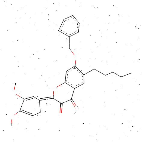 CCCCCc1cc2c(cc1OCc1ccccc1)OC(=C1C=C(OC)C(OC)=CC1)C(=O)C2=O